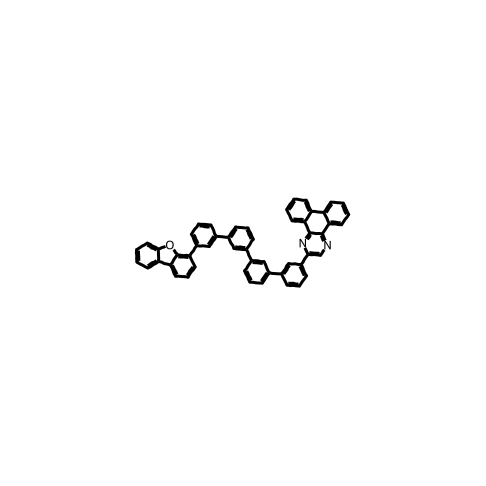 c1cc(-c2cccc(-c3cccc(-c4cccc5c4oc4ccccc45)c3)c2)cc(-c2cccc(-c3cnc4c5ccccc5c5ccccc5c4n3)c2)c1